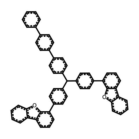 c1ccc(-c2ccc(-c3ccc(C(c4ccc(-c5cccc6c5oc5ccccc56)cc4)c4ccc(-c5cccc6c5oc5ccccc56)cc4)cc3)cc2)cc1